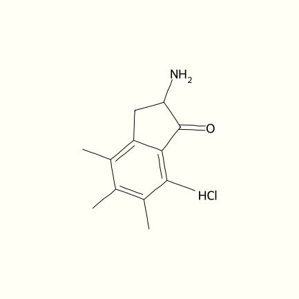 Cc1c(C)c(C)c2c(c1C)CC(N)C2=O.Cl